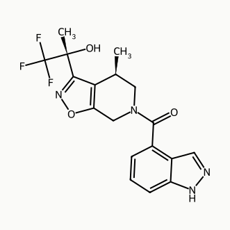 C[C@H]1CN(C(=O)c2cccc3[nH]ncc23)Cc2onc([C@@](C)(O)C(F)(F)F)c21